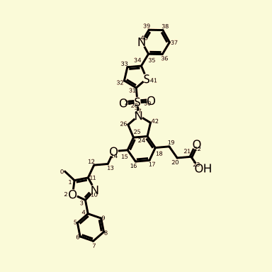 Cc1oc(-c2ccccc2)nc1CCOc1ccc(CCC(=O)O)c2c1CN(S(=O)(=O)c1ccc(-c3ccccn3)s1)C2